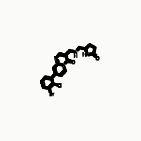 O=C1CCC(CNCc2cnc3cc(-c4cccc(Br)c4Cl)ccn3c2=O)N1